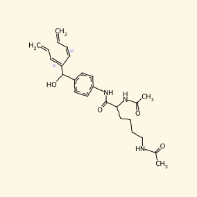 C=C/C=C\C(=C/C=C)C(O)c1ccc(NC(=O)C(CCCCNC(C)=O)NC(C)=O)cc1